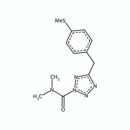 CSc1ccc(Cc2nnn(C(=O)N(C)C)n2)cc1